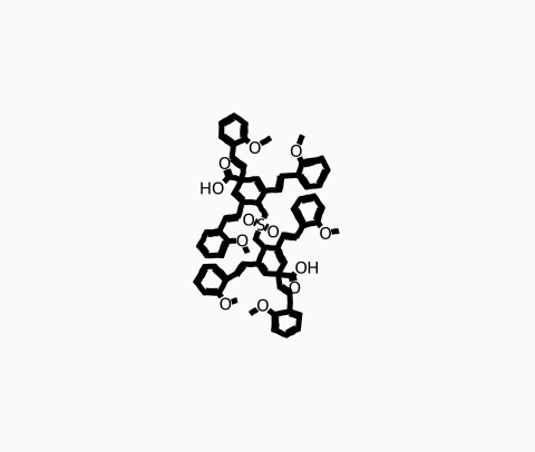 COc1ccccc1/C=C/C1=CC(/C=C/c2ccccc2OC)(C(=O)O)C=C(/C=C/c2ccccc2OC)C1CS(=O)(=O)CC1C(/C=C/c2ccccc2OC)=CC(/C=C/c2ccccc2OC)(C(=O)O)C=C1/C=C/c1ccccc1OC